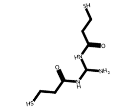 NC(NC(=O)CCS)NC(=O)CCS